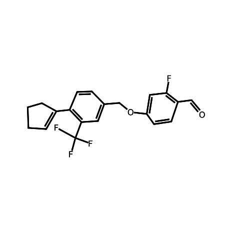 O=Cc1ccc(OCc2ccc(C3=CCCC3)c(C(F)(F)F)c2)cc1F